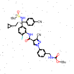 CC(C)(C)OC(=O)NCc1cccc(-n2cc(C(=O)Nc3cc([C@@](CCC4CC4)(N[S@+]([O-])C(C)(C)C)c4ccc(C#N)cc4)ccc3F)c(C#N)n2)c1